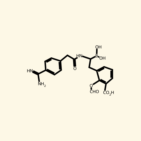 N=C(N)c1ccc(CC(=O)NC(Cc2cccc(C(=O)O)c2OC=O)B(O)O)cc1